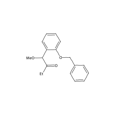 CCC(=O)C(OC)c1ccccc1OCc1ccccc1